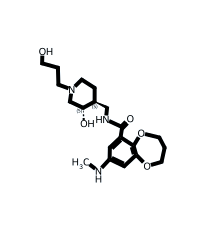 CNc1cc2c(c(C(=O)NC[C@@H]3CCN(CCCO)C[C@H]3O)c1)OCCCO2